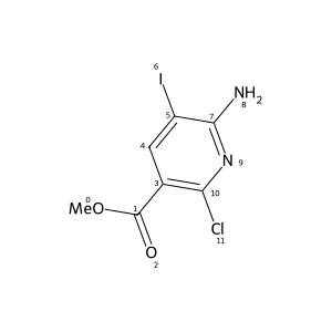 COC(=O)c1cc(I)c(N)nc1Cl